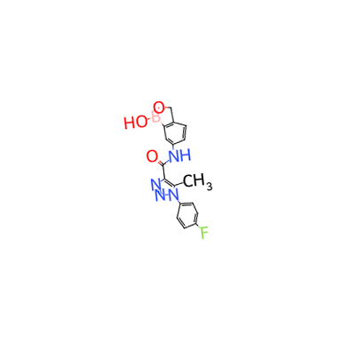 Cc1c(C(=O)Nc2ccc3c(c2)B(O)OC3)nnn1-c1ccc(F)cc1